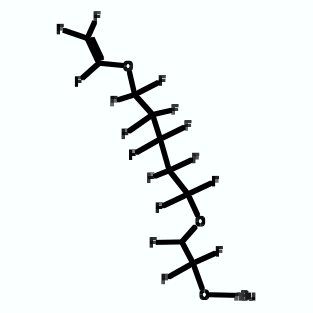 CCCCOC(F)(F)C(F)OC(F)(F)C(F)(F)C(F)(F)C(F)(F)C(F)(F)OC(F)=C(F)F